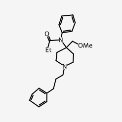 CCC(=O)N(c1ccccc1)C1(COC)CCN(CCCc2ccccc2)CC1